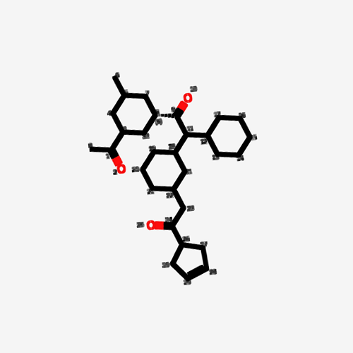 CC(=O)C1CC(C)C[C@H](C(=O)C(C2CCCCC2)C2CCCC(CC(=O)C3CC=CC3)C2)C1